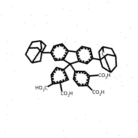 O=C(O)c1ccc(C2(c3ccc(C(=O)O)c(C(=O)O)c3)c3cc(C45CC6CC(CC(C6)C4)C5)ccc3-c3ccc(C45CC6CC(CC(C6)C4)C5)cc32)cc1C(=O)O